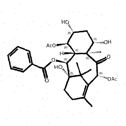 CC(=O)O[C@H]1C(=O)[C@@]2(C)[C@@H]([C@@H](OC(C)=O)[C@H](O)C[C@@H]2O)[C@H](OC(=O)c2ccccc2)[C@]2(O)CCC(C)=C1C2(C)C